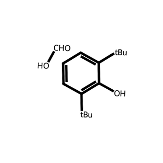 CC(C)(C)c1cccc(C(C)(C)C)c1O.O=CO